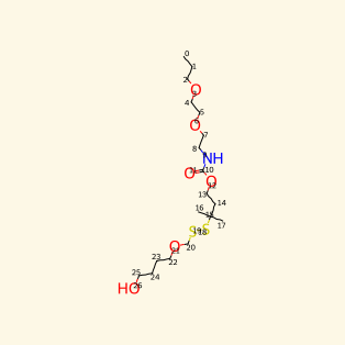 CCCOCCOCCNC(=O)OCCC(C)(C)SSCOCCCCO